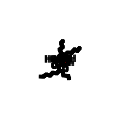 CCCCCCC(CCCC)CC(C(=O)O)C(CC(CCCC)CCCCCC)(C(=O)O)S(=O)(=O)O